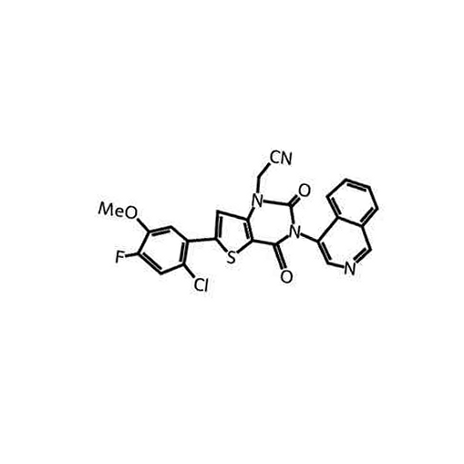 COc1cc(-c2cc3c(s2)c(=O)n(-c2cncc4ccccc24)c(=O)n3CC#N)c(Cl)cc1F